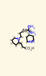 C1CCNCC1.CCC(N)N.O=C(O)CCC1CCCCN1CCC(=O)O